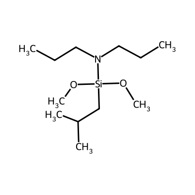 CCCN(CCC)[Si](CC(C)C)(OC)OC